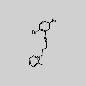 Cc1cccc[n+]1CCCC#Cc1cc(Br)ccc1Br